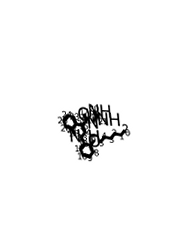 CCCCCCOc1ccccc1-c1cc(C(=O)NC(=N)N)c2ccccc2n1